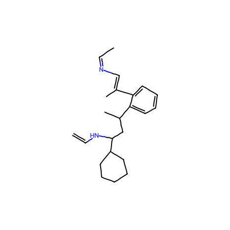 C=CNC(CC(C)c1ccccc1/C(C)=C/N=C\C)C1CCCCC1